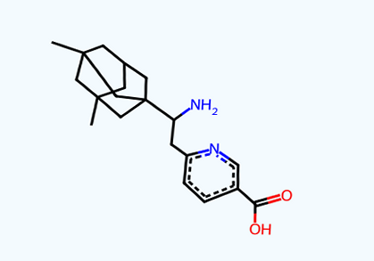 CC12CC3CC(C)(C1)CC(C(N)Cc1ccc(C(=O)O)cn1)(C3)C2